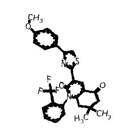 COc1ccc(-c2csc(-c3cc4c(n(-c5ccccc5C(F)(F)F)c3=O)CC(C)(C)CC4=O)n2)cc1